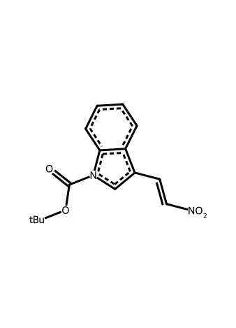 CC(C)(C)OC(=O)n1cc(/C=C/[N+](=O)[O-])c2ccccc21